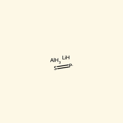 [AlH3].[LiH].[P]=S